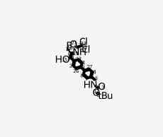 CC(C)(C)OC(=O)NCc1ccc(-c2ccc([C@@H](O)[C@@H](CF)NC(=O)C(Cl)Cl)cc2)cc1